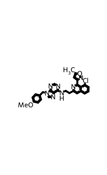 COc1ccc(Cn2cnc3c(NCCc4cc5cccc(Cl)c5c(-c5cc(C)on5)n4)ncnc32)cc1